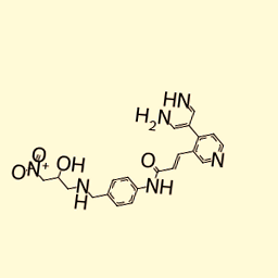 N=C/C(=C\N)c1ccncc1/C=C/C(=O)Nc1ccc(CNCC(O)C[N+](=O)[O-])cc1